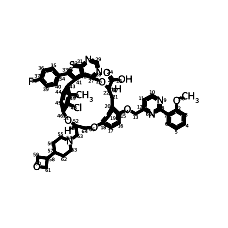 COc1ccccc1-c1nccc(COc2ccc3cc2C[C@H](C(=O)O)Oc2ncnc4sc(-c5ccc(F)cc5)c(c24)-c2ccc(c(Cl)c2C)O[C@H](CN2CCC(C4COC4)CC2)CO3)n1